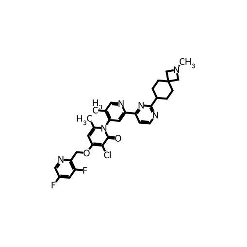 Cc1cnc(-c2ccnc(C3CCC4(CC3)CN(C)C4)n2)cc1-n1c(C)cc(OCc2ncc(F)cc2F)c(Cl)c1=O